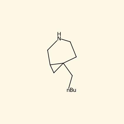 CCCCCC12CCNCC1C2